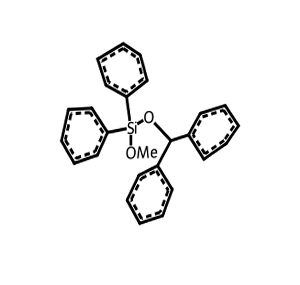 CO[Si](OC(c1ccccc1)c1ccccc1)(c1ccccc1)c1ccccc1